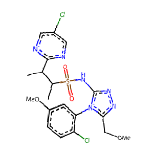 COCc1nnc(NS(=O)(=O)C(C)C(C)c2ncc(Cl)cn2)n1-c1cc(OC)ccc1Cl